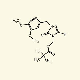 COc1ccc(Cn2nc(Br)n(COC(=O)C(C)(C)C)c2=O)cc1OC